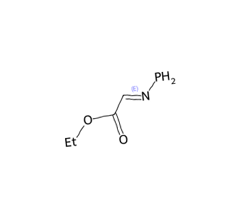 CCOC(=O)/C=N/P